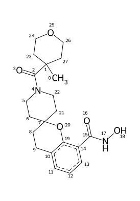 CC1(C(=O)N2CCC3(CCc4cccc(C(=O)NO)c4O3)CC2)CCOCC1